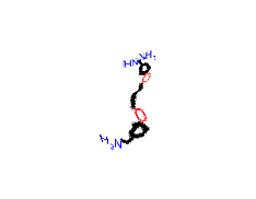 N=C(N)c1ccc(OCCCCCOc2ccc(CCN)cc2)cc1